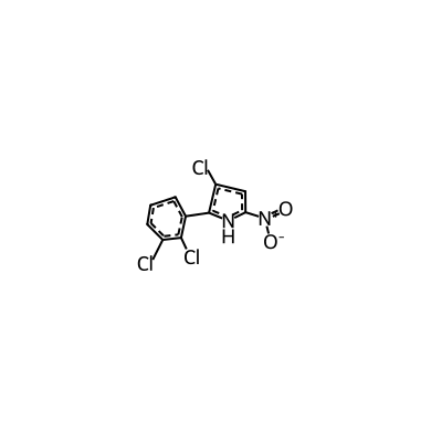 O=[N+]([O-])c1cc(Cl)c(-c2cccc(Cl)c2Cl)[nH]1